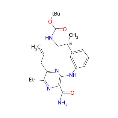 C=CCc1nc(Nc2cccc([C@@H](C)CNC(=O)OC(C)(C)C)c2)c(C(N)=O)nc1CC